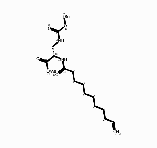 C=CCCCCCCCCC(=O)N[C@@H](CNC(=O)OC(C)(C)C)C(=O)OC